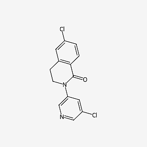 O=C1c2ccc(Cl)cc2CCN1c1cncc(Cl)c1